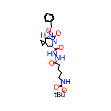 CC(C)(C)OC(=O)NCCCCC(=O)NNC(=O)[C@@H]1CC2(CC2)[C@H]2CN1C(=O)N2OCc1ccccc1